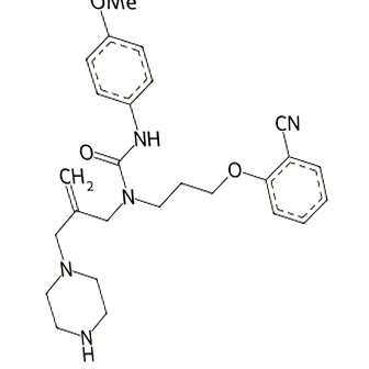 C=C(CN1CCNCC1)CN(CCCOc1ccccc1C#N)C(=O)Nc1ccc(OC)cc1